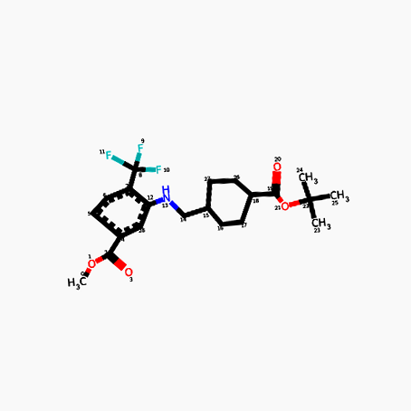 COC(=O)c1ccc(C(F)(F)F)c(NCC2CCC(C(=O)OC(C)(C)C)CC2)c1